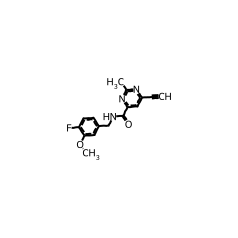 C#Cc1cc(C(=O)NCc2ccc(F)c(OC)c2)nc(C)n1